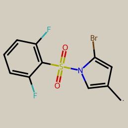 [CH2]c1cc(Br)n(S(=O)(=O)c2c(F)cccc2F)c1